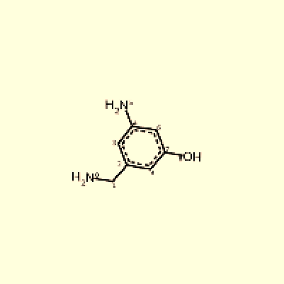 NCc1cc(N)cc(O)c1